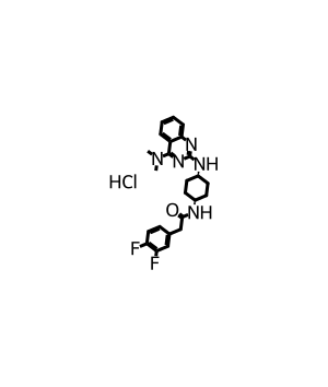 CN(C)c1nc(N[C@H]2CC[C@@H](NC(=O)Cc3ccc(F)c(F)c3)CC2)nc2ccccc12.Cl